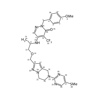 COc1ccc(Cn2ncc(NC(C)COCc3cc4n(n3)CCN(c3ncc(SC)cn3)C4)c(C(F)(F)F)c2=O)cc1